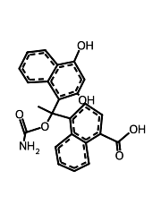 CC(OC(N)=O)(c1ccc(C(=O)O)c2ccccc12)c1c(O)cc(O)c2ccccc12